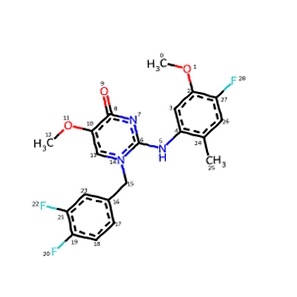 COc1cc(Nc2nc(=O)c(OC)cn2Cc2ccc(F)c(F)c2)c(C)cc1F